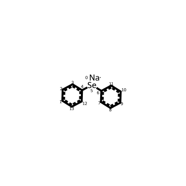 [Na].c1ccc([Se]c2ccccc2)cc1